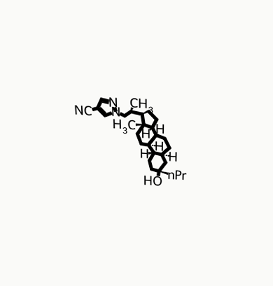 CCC[C@@]1(O)CC[C@H]2[C@@H](CC[C@@H]3[C@@H]2CC[C@]2(C)[C@@H]([C@H](C)Cn4cc(C#N)cn4)CC[C@@H]32)C1